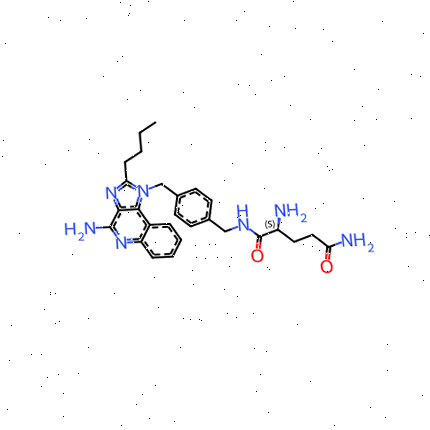 CCCCc1nc2c(N)nc3ccccc3c2n1Cc1ccc(CNC(=O)[C@@H](N)CCC(N)=O)cc1